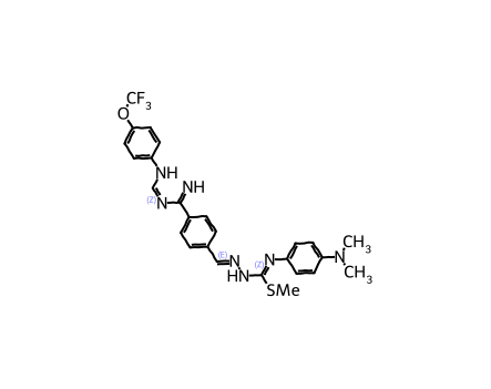 CS/C(=N\c1ccc(N(C)C)cc1)N/N=C/c1ccc(C(=N)/N=C\Nc2ccc(OC(F)(F)F)cc2)cc1